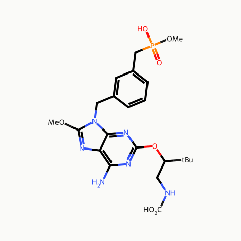 COc1nc2c(N)nc(OC(CNC(=O)O)C(C)(C)C)nc2n1Cc1cccc(CP(=O)(O)OC)c1